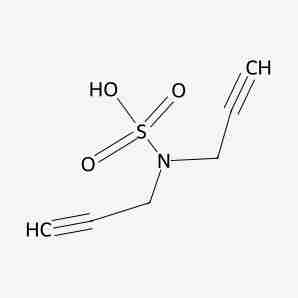 C#CCN(CC#C)S(=O)(=O)O